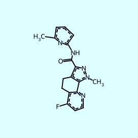 Cc1cccc(NC(=O)c2nn(C)c3c2CCc2c(F)ccnc2-3)n1